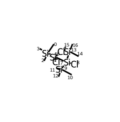 C[Si](C)(C)[Si](Cl)(Cl)[Si](Cl)([Si](C)(C)C)[Si](C)(C)C